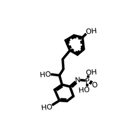 O=P(O)(O)N=C1CC=C(O)C=C1C(O)CCc1ccc(O)cc1